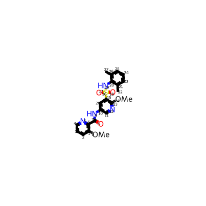 COc1cccnc1C(=O)Nc1cnc(OC)c(S(=O)(=O)Nc2c(C)cccc2C)c1